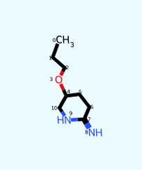 CCCOC1CCC(=N)NC1